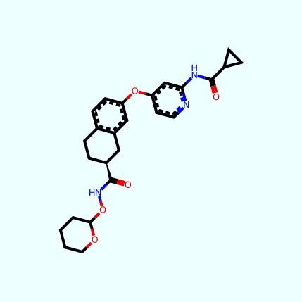 O=C(Nc1cc(Oc2ccc3c(c2)C[C@@H](C(=O)NOC2CCCCO2)CC3)ccn1)C1CC1